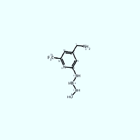 NCc1cc(BBBO)nc(C(F)(F)F)c1